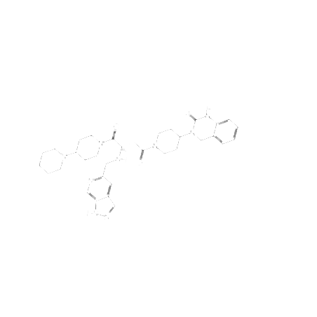 O=C(C[C@H](NCc1cc2cn[nH]c2cn1)C(=O)N1CCC(N2CCCCC2)CC1)N1CCC(N2Cc3ccccc3NC2=O)CC1